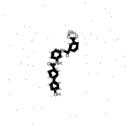 CCCCOC(=O)c1cccc(C(=O)Nc2cccc(NC(=O)c3ccc(-c4ccc(O)cc4)cc3)c2)c1